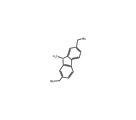 Cn1c2cc(CC(C)(C)C)ccc2c2ccc(CC(C)(C)C)cc21